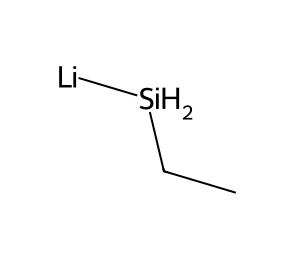 [Li][SiH2]CC